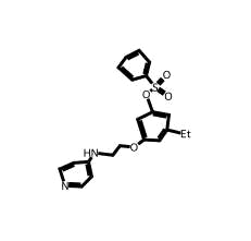 CCc1cc(OCCNc2ccncc2)cc(OS(=O)(=O)c2ccccc2)c1